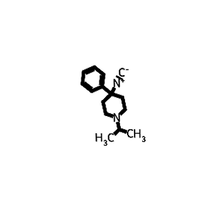 [C-]#[N+]C1(c2ccccc2)CCN(C(C)C)CC1